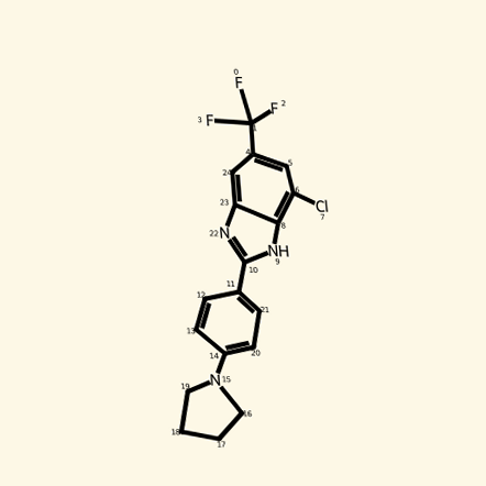 FC(F)(F)c1cc(Cl)c2[nH]c(-c3ccc(N4CCCC4)cc3)nc2c1